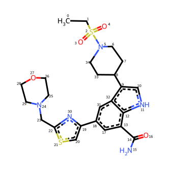 CCS(=O)(=O)N1CCC(c2c[nH]c3c(C(N)=O)cc(-c4csc(CN5CCOCC5)n4)cc23)CC1